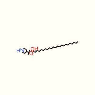 CCCCCCCCCCCCCCCCCCCCCCC(O)OC(C)(C)C1CCNCC1